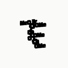 COc1ccc(C(OC)C(=O)C2CC=C(c3cc(OC)c(Br)c(OC)c3)O2)cn1